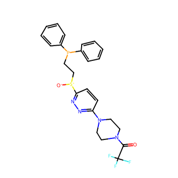 O=C(N1CCN(c2ccc([S+]([O-])CCP(c3ccccc3)c3ccccc3)nn2)CC1)C(F)(F)F